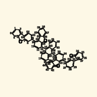 c1ccc2c(c1)oc1cc(-c3ccc(-c4c5ccccc5c(-c5ccc(-c6cccc7c6oc6ccccc67)c6oc7ccccc7c56)c5ccccc45)c4oc5ccccc5c34)ccc12